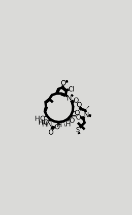 COc1cc2cc(c1Cl)N(C)C(=O)C[C@H](OC(=O)[C@H](C)N(C)C(=O)CC(C)(C)SC)[C@]1(C)O[C@H]1[C@H](C)[C@@H]1C[C@@](O)(NC(=O)O1)[C@H](O)/C=C/C=C(\C)C2